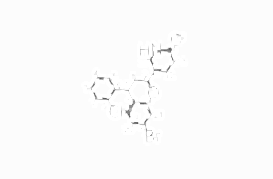 Cc1ccccc1C(CC(=O)c1ccc(=O)[nH]c1)c1ccc(Br)cc1